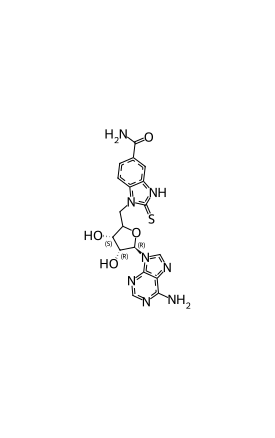 NC(=O)c1ccc2c(c1)[nH]c(=S)n2CC1O[C@@H](n2cnc3c(N)ncnc32)[C@H](O)[C@@H]1O